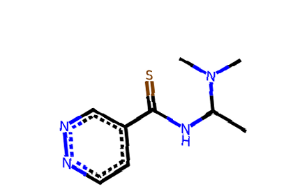 CC(NC(=S)c1ccnnc1)N(C)C